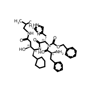 CC(C)CNC(=O)C[C@H](O)[C@H](CC1CCCCC1)NC(=O)[C@H](Cc1c[nH]cn1)N(C(=O)OCc1ccccc1)C(=O)[C@@H](N)Cc1ccccc1